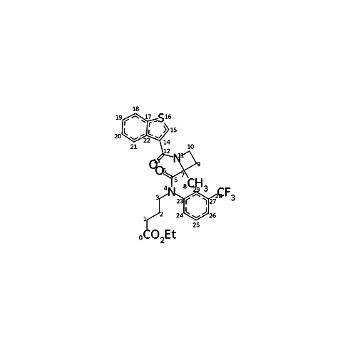 CCOC(=O)CCCN(C(=O)C1(C)CCN1C(=O)c1csc2ccccc12)c1cccc(C(F)(F)F)c1